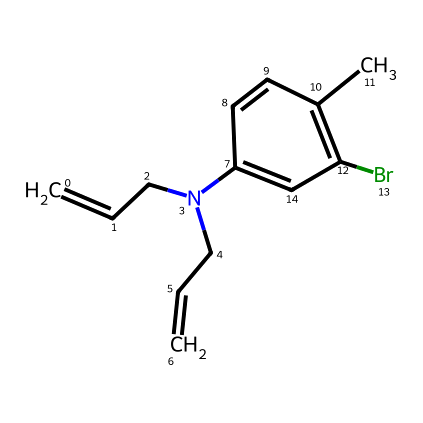 C=CCN(CC=C)c1ccc(C)c(Br)c1